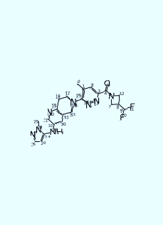 Cc1cc(C(=O)N2CC(C(F)F)C2)nnc1N1CCc2ncc(Nc3ccnn3C)cc2C1